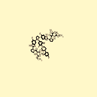 COC(=O)N[C@H](C(=O)N1CCC[C@H]1c1nc2cc([C@H]3CC[C@H](c4cc5nc([C@@H]6CCCN6C(=O)[C@@H](NC(=O)OC)C(C)C)[nH]c5cc4F)N3c3cc(F)c(N4CCC(c5ccc(F)cc5F)CC4)c(F)c3)c(F)cc2[nH]1)C(C)C